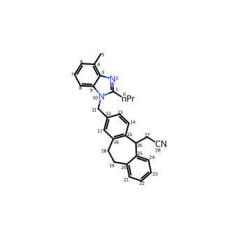 CCCc1nc2c(C)cccc2n1Cc1ccc2c(c1)CCc1ccccc1C2CC#N